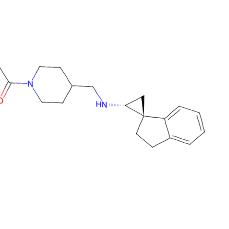 CC(=O)N1CCC(CN[C@@H]2C[C@@]23CCc2ccccc23)CC1